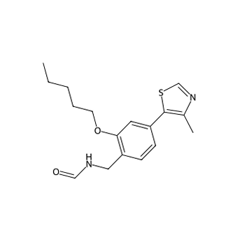 CCCCCOc1cc(-c2scnc2C)ccc1CNC=O